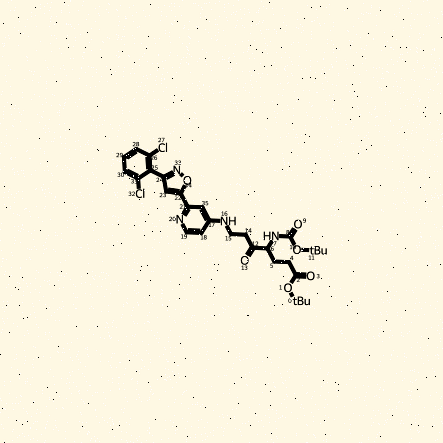 CC(C)(C)OC(=O)CCC(NC(=O)OC(C)(C)C)C(=O)CCNc1ccnc(-c2cc(-c3c(Cl)cccc3Cl)no2)c1